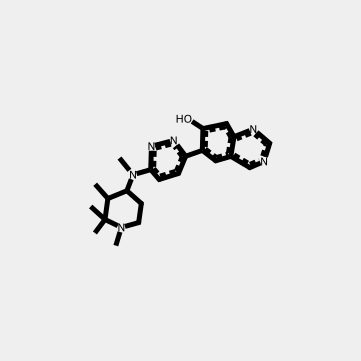 CC1C(N(C)c2ccc(-c3cc4cncnc4cc3O)nn2)CCN(C)C1(C)C